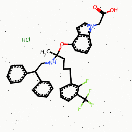 CC(CCCc1cccc(C(F)(F)F)c1F)(NCC(c1ccccc1)c1ccccc1)Oc1cccc2c1ccn2CC(=O)O.Cl